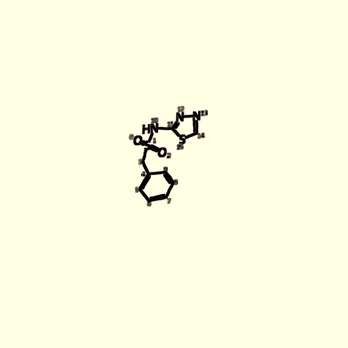 O=S(=O)(Cc1ccccc1)Nc1nncs1